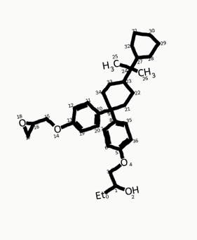 CCC(O)COc1ccc(C2(c3ccc(OCC4CO4)cc3)CCC(C(C)(C)C3CCCCC3)CC2)cc1